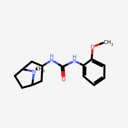 COc1ccccc1NC(=O)NC1CC2CCC(C1)N2C